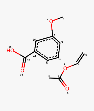 C=COC(C)=O.COc1cccc(C(=O)O)c1